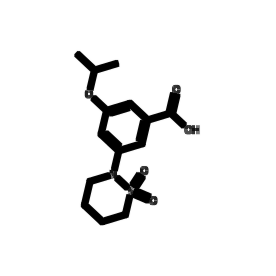 CC(C)Oc1cc(C(=O)O)cc(N2CCCCS2(=O)=O)c1